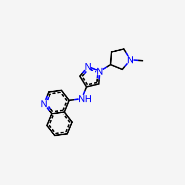 CN1CCC(n2cc(Nc3ccnc4ccccc34)cn2)C1